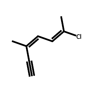 C#C/C(C)=C\C=C(/C)Cl